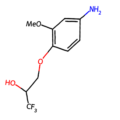 COc1cc(N)ccc1OCC(O)C(F)(F)F